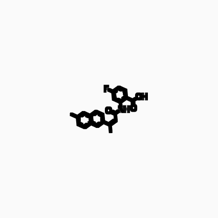 C/C(=C/C(=O)Nc1cc(F)ccc1C(=O)O)c1ccc2cc(C)ccc2c1